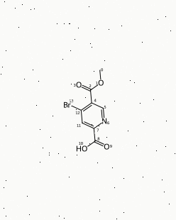 COC(=O)c1cnc(C(=O)O)cc1Br